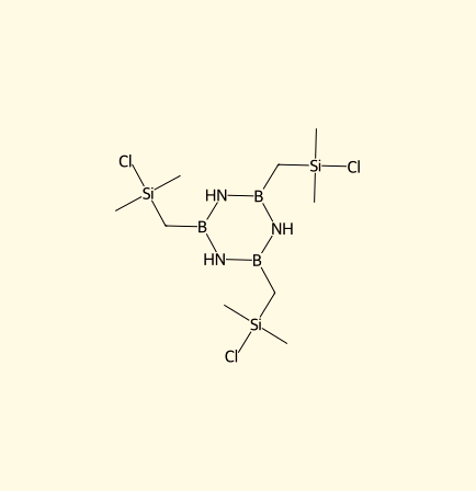 C[Si](C)(Cl)CB1NB(C[Si](C)(C)Cl)NB(C[Si](C)(C)Cl)N1